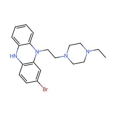 CCN1CCN(CCN2c3ccccc3Nc3ccc(Br)cc32)CC1